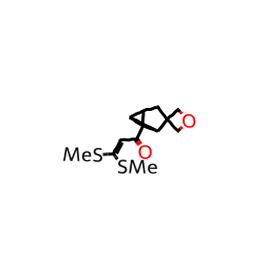 CSC(=CC(=O)C12C3CC4(COC4)C1C32)SC